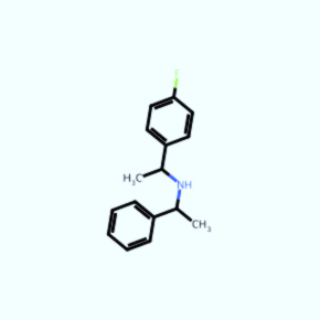 CC(NC(C)c1ccc(F)cc1)c1ccccc1